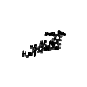 C=C(NCCN)c1ccc(NC(=C)c2cc3nccc(-c4ccc(OC)c(OC)c4)n3n2)cc1